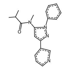 CC(C)C(=O)N(C)c1cc(-c2cccnc2)nn1-c1ccccc1